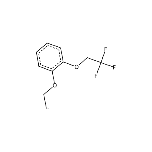 [CH2]COc1ccccc1OCC(F)(F)F